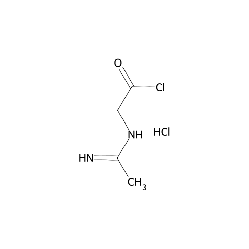 CC(=N)NCC(=O)Cl.Cl